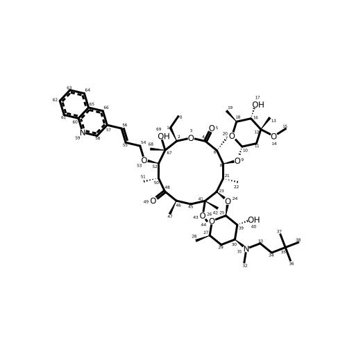 CC[C@H]1OC(=O)[C@H](C)[C@@H](O[C@H]2C[C@@](C)(OC)[C@@H](O)[C@H](C)O2)[C@H](C)[C@@H](O[C@@H]2O[C@H](C)C[C@H](N(C)CCC(C)(C)C)[C@H]2O)[C@](C)(OC)C[C@@H](C)C(=O)[C@H](C)[C@@H](OC/C=C/c2cnc3ccccc3c2)[C@]1(C)O